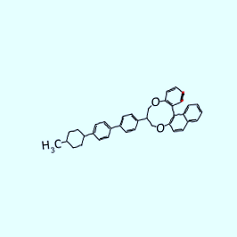 CC1CCC(c2ccc(-c3ccc(C4COc5ccc6ccccc6c5-c5c(ccc6ccccc56)OC4)cc3)cc2)CC1